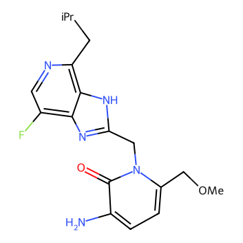 COCc1ccc(N)c(=O)n1Cc1nc2c(F)cnc(CC(C)C)c2[nH]1